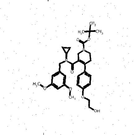 COc1cc(CN(C(=O)C2=C(c3ccc(OCCO)cc3)CCN(C(=O)OC(C)(C)C)C2)C2CC2)cc(OC)c1